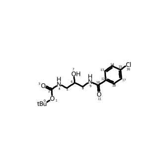 CC(C)(C)OC(=O)NCC(O)CNC(=O)c1ccc(Cl)cc1